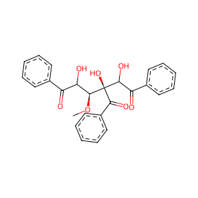 CO[C@@H](C(O)C(=O)c1ccccc1)[C@@](O)(C(=O)c1ccccc1)C(O)C(=O)c1ccccc1